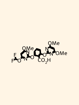 COc1cc(OC)nc(Oc2cccc(Oc3nc(OC)cc(OC(F)F)n3)c2C(=O)O)n1